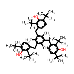 Cc1c(Cc2ccc(C(C)(C)C)c(O)c2C(C)(C)C)c(C)c(Cc2ccc(C(C)(C)C)c(O)c2C(C)(C)C)c(C)c1Cc1ccc(C(C)(C)C)c(O)c1C(C)(C)C